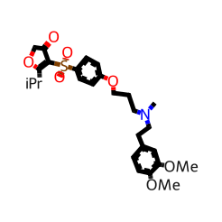 COc1ccc(CCN(C)CCCOc2ccc(S(=O)(=O)C3=C(C(C)C)OCC3=O)cc2)cc1OC